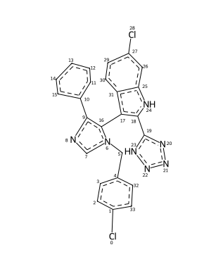 Clc1ccc(Cn2cnc(-c3ccccc3)c2-c2c(-c3nnn[nH]3)[nH]c3cc(Cl)ccc23)cc1